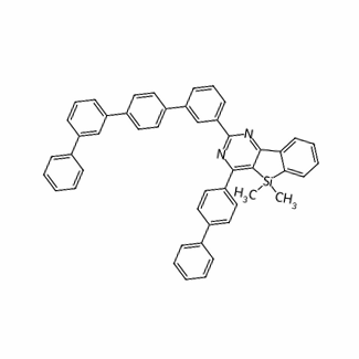 C[Si]1(C)c2ccccc2-c2nc(-c3cccc(-c4ccc(-c5cccc(-c6ccccc6)c5)cc4)c3)nc(-c3ccc(-c4ccccc4)cc3)c21